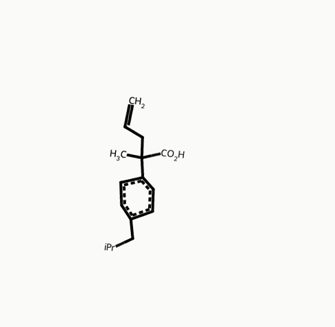 C=CCC(C)(C(=O)O)c1ccc(CC(C)C)cc1